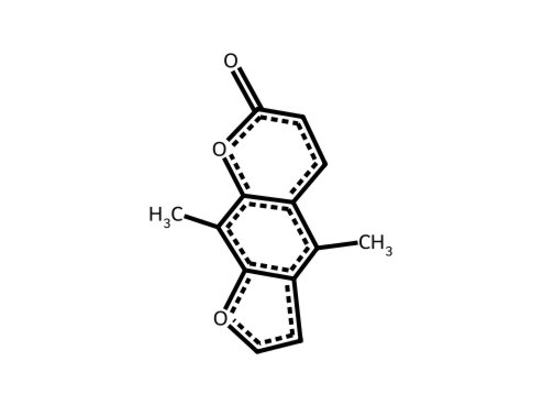 Cc1c2ccoc2c(C)c2oc(=O)ccc12